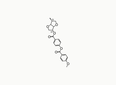 COc1ccc(C(=O)Oc2ccc(C(=O)O[C@H]3COC4C3OC[C@@H]4C)cc2)cc1